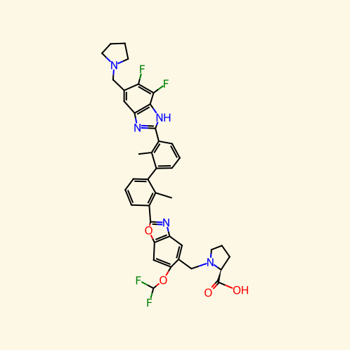 Cc1c(-c2nc3cc(CN4CCCC4)c(F)c(F)c3[nH]2)cccc1-c1cccc(-c2nc3cc(CN4CCC[C@H]4C(=O)O)c(OC(F)F)cc3o2)c1C